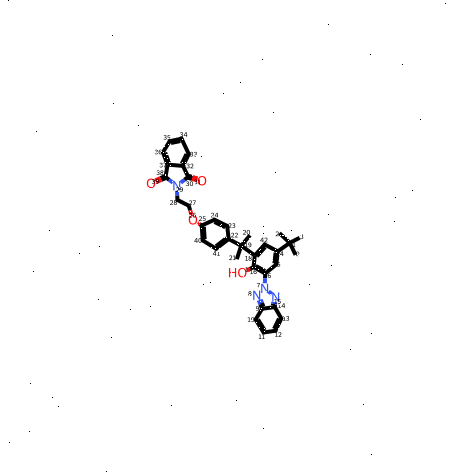 CC(C)(C)c1cc(-n2nc3ccccc3n2)c(O)c(C(C)(C)c2ccc(OCCN3C(=O)c4ccccc4C3=O)cc2)c1